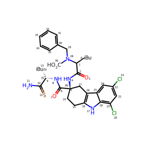 CCC(C)C(C(=O)N[C@]1(C(=O)N[C@H](C(N)=S)[C@@H](C)CC)CCc2[nH]c3c(Cl)cc(Cl)cc3c2C1)N(Cc1ccccc1)C(=O)O